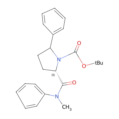 CN(C(=O)[C@@H]1CCC(c2ccccc2)N1C(=O)OC(C)(C)C)c1ccccc1